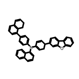 C1=Cc2cccc(-c3ccc(N(C4=CCC(c5ccc6c(c5)oc5ccccc56)C=C4)c4cccc5ccccc45)cc3)c2CC1